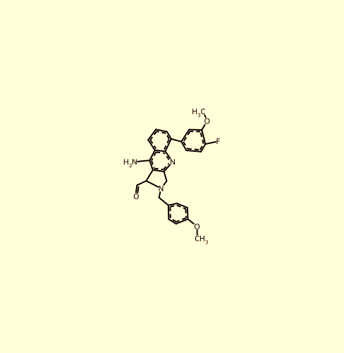 COc1ccc(CN2Cc3nc4c(-c5ccc(F)c(OC)c5)cccc4c(N)c3C2C=O)cc1